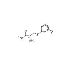 COC(=O)[C@@H](N)CSc1cccc(OC)c1